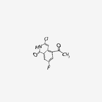 CC(=O)c1cc(F)cc2c(=O)[nH]c(Cl)cc12